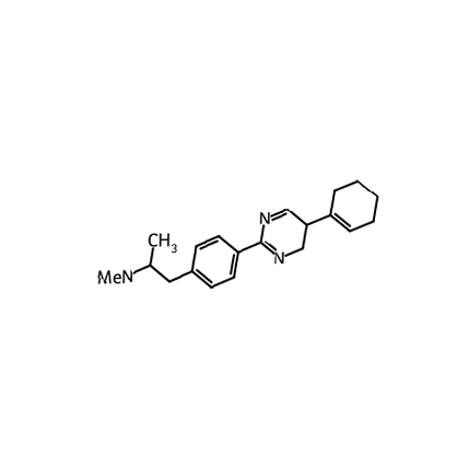 CNC(C)Cc1ccc(C2=NCC(C3=CCCCC3)C=N2)cc1